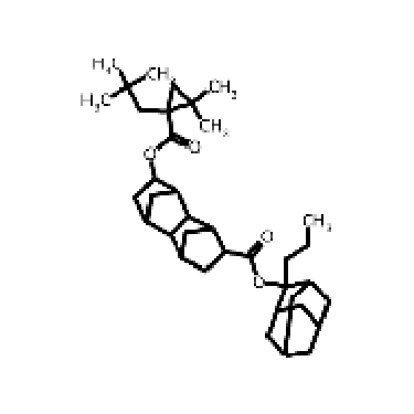 CCCC1(OC(=O)C2CC3CC2C2C4CC(CC4OC(=O)C4(CC(C)(C)C)CC4(C)C)C32)C2CC3CC(C2)CC1C3